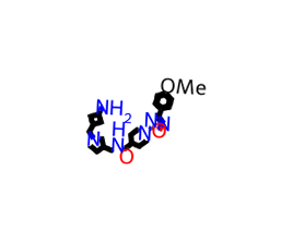 COc1ccc(-c2noc(N3CCC(C(=O)NCC4CCN(CC5CC(N)C5)C4)CC3)n2)cc1